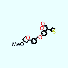 COC1CCOC(c2cccc(COc3ccc4c(-c5ccsc5)cc(=O)oc4c3)c2)C1